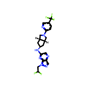 FC(F)Cn1ncc2ncc(N[C@H]3C[C@@H]4CN(c5ccc(C(F)(F)F)cn5)C[C@@H]4C3)nc21